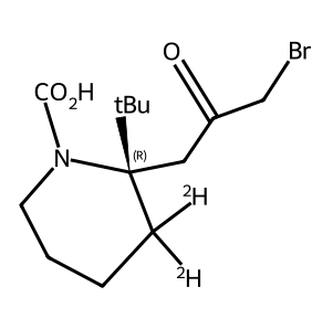 [2H]C1([2H])CCCN(C(=O)O)[C@@]1(CC(=O)CBr)C(C)(C)C